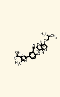 Cc1nc(-c2ccc(O[C@H]3CO[C@H]4[C@@H]3OC[C@@H]4OCC(C)C)c(C#N)c2)sc1C(=O)O